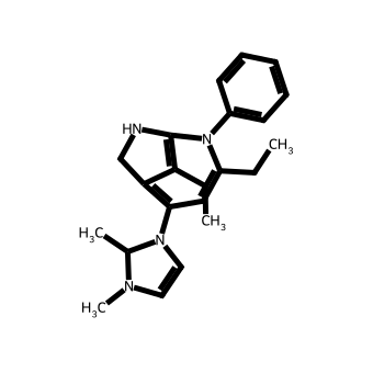 CCC1=CC(N2C=CN(C)C2C)=C2CNC(=C2CC)N1c1ccccc1